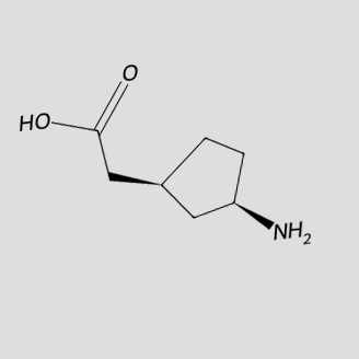 N[C@@H]1CC[C@H](CC(=O)O)C1